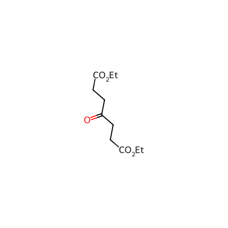 CCOC(=O)CCC(=O)CCC(=O)OCC